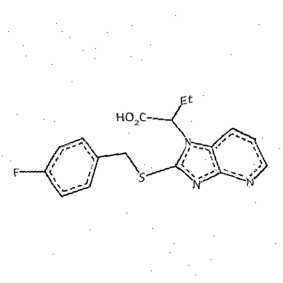 CCC(C(=O)O)n1c(SCc2ccc(F)cc2)nc2ncccc21